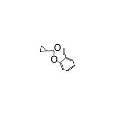 O=C(Oc1ccccc1I)C1CC1